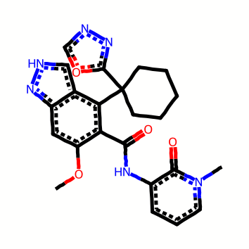 COc1cc2n[nH]cc2c(C2(c3nnco3)CCCCC2)c1C(=O)Nc1cccn(C)c1=O